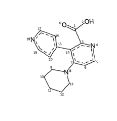 O=C(O)c1nccc(N2CCCCC2)c1-c1ccncc1